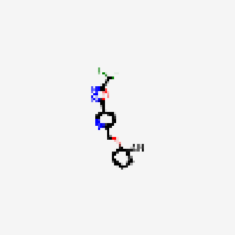 N#Cc1ccccc1OCc1ccc(-c2nnc(C(F)F)o2)cn1